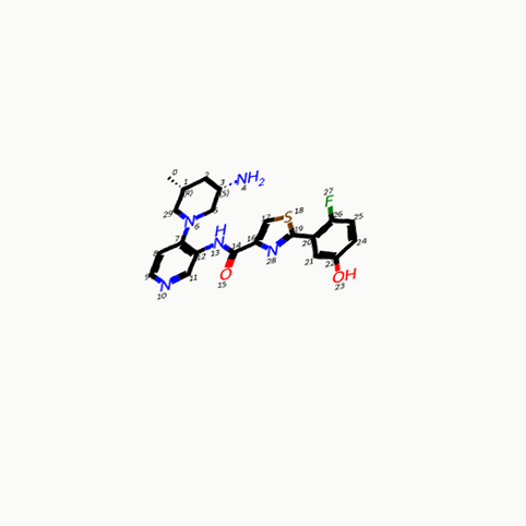 C[C@@H]1C[C@H](N)CN(c2ccncc2NC(=O)c2csc(-c3cc(O)ccc3F)n2)C1